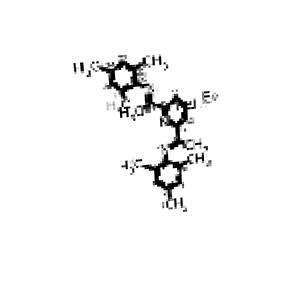 C/C(=N\c1c(C)cc(C)cc1C)c1cccc(/C(C)=N/c2c(C)cc(C)cc2C)n1.Cl.[Fe]